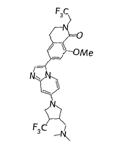 COc1cc(-c2cnc3cc(N4CC(CN(C)C)C(C(F)(F)F)C4)ccn23)cc2c1C(=O)N(CC(F)(F)F)CC2